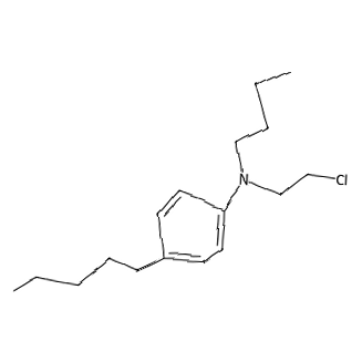 CCCCCc1ccc(N(CCCl)CCCC)cc1